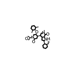 Cc1cccc(C)c1Oc1cn(C2COC2)c(=O)cc1-c1cn(C)c(=O)c2[nH]c(-c3ccccc3F)cc12